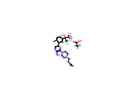 Cc1ccc(C(O)(C(N)=O)C(F)(F)F)cc1-c1cnc(N)c(N2CCN(CCC#N)CC2)n1.O=C(O)C(F)(F)F